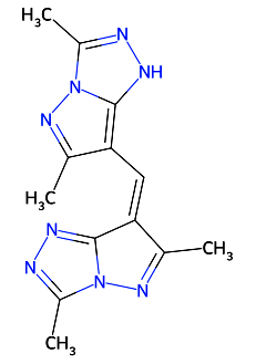 Cc1nn2c(C)n[nH]c2c1/C=c1/c(C)nn2c(C)nnc12